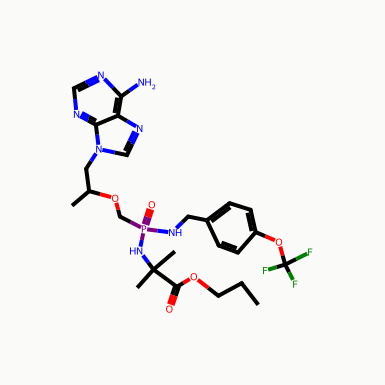 CCCOC(=O)C(C)(C)NP(=O)(COC(C)Cn1cnc2c(N)ncnc21)NCc1ccc(OC(F)(F)F)cc1